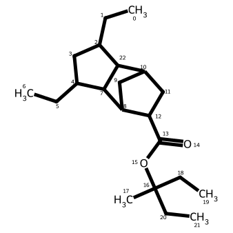 CCC1CC(CC)C2C3CC(CC3C(=O)OC(C)(CC)CC)C12